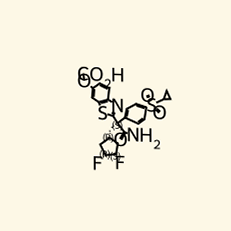 NC(=O)[C@](C[C@H]1C[C@@H](F)[C@@H](F)C1)(c1ccc(S(=O)(=O)C2CC2)cc1)c1nc2ccc(OC(=O)O)cc2s1